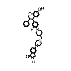 O=C1NCc2cc(N3CCN(CC4CCN(c5ccc(C6c7ccc(O)cc7OCC6c6ccccc6)cc5F)CC4)CC3)ccc21